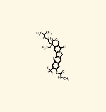 CC[C@@]1(OC(=O)NC(C)C)C(=O)OCc2c1cc1n(c2=O)Cc2cc3cc(OC(=O)NC)c(C(F)(F)F)cc3nc2-1